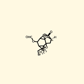 CC1(I)C2C(OC=O)C3OC(=O)[C@H]4CC1(O[C@]2(C)CBr)C3(C)O4